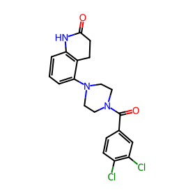 O=C1CCc2c(cccc2N2CCN(C(=O)c3ccc(Cl)c(Cl)c3)CC2)N1